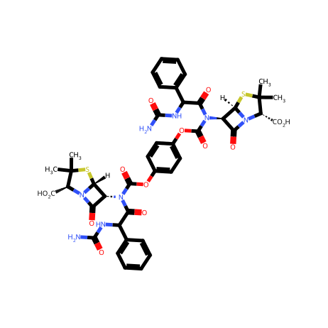 CC1(C)S[C@@H]2[C@H](N(C(=O)Oc3ccc(OC(=O)N(C(=O)C(NC(N)=O)c4ccccc4)[C@@H]4C(=O)N5[C@@H]4SC(C)(C)[C@@H]5C(=O)O)cc3)C(=O)C(NC(N)=O)c3ccccc3)C(=O)N2[C@H]1C(=O)O